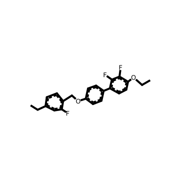 CCOc1ccc(-c2ccc(OCc3ccc(CC)cc3F)cc2)c(F)c1F